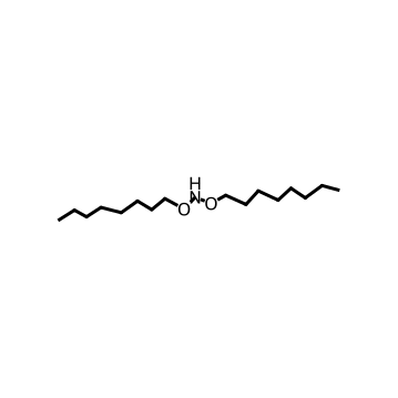 CCCCCCCCONOCCCCCCCC